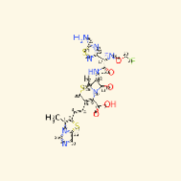 Cc1c(C=CC2=C(C(=O)O)N3C(=O)[C@@H](NC(=O)/C(=N\OCF)c4nsc(N)n4)[C@H]3SC2)sc2cncn12